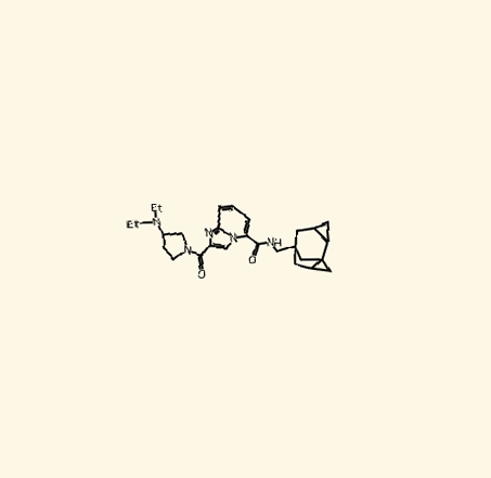 CCN(CC)C1CCN(C(=O)c2cn3c(C(=O)NCC45CC6CC6C6(CC6C4)C5)cccc3n2)C1